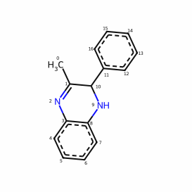 CC1=Nc2ccccc2NC1c1ccccc1